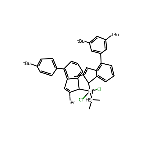 CC1=Cc2c(-c3cc(C(C)(C)C)cc(C(C)(C)C)c3)cccc2[CH]1[Hf]([Cl])([Cl])([CH]1C(C(C)C)=Cc2c(-c3ccc(C(C)(C)C)cc3)cccc21)[SiH](C)C